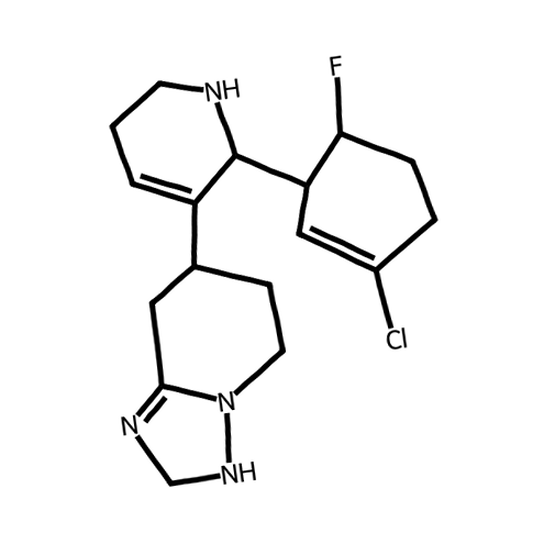 FC1CCC(Cl)=CC1C1NCCC=C1C1CCN2NCN=C2C1